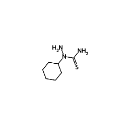 NC(=S)N(N)C1CCCCC1